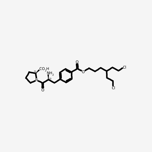 N[C@@H](Cc1ccc(C(=O)OCCCC(CCCl)CCCl)cc1)C(=O)N1CCC[C@H]1C(=O)O